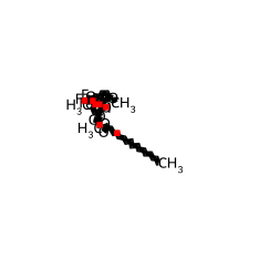 CCCCCCCCCCCCCCCCCC(=O)O[C@@H](C)C(=O)OC1=CC[C@@]2(OC(=O)C(F)(F)F)C3Cc4ccc(OC)c5c4[C@@]2(CCN3C)[C@H]1O5